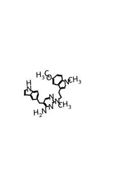 COc1ccc2c(c1)c(CCN(C)c1ncc(Cc3ccc4[nH]ccc4c3)c(N)n1)cn2C